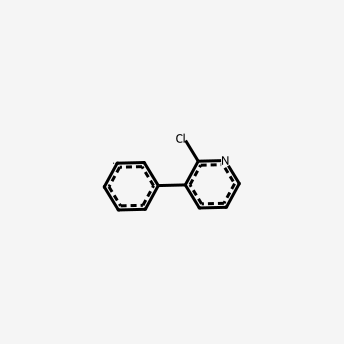 Clc1ncccc1-c1c[c]ccc1